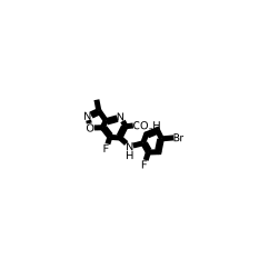 Cc1noc2c(F)c(Nc3ccc(Br)cc3F)c(C(=O)O)nc12